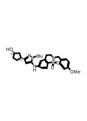 COc1ccc(CN2CCc3cc(Nc4cc([C@H]5CC[C@@H](O)C5)nn4C(C)(C)C)ccc3S2(=O)=O)cc1